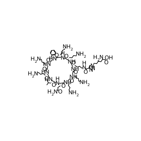 CC(C)C[C@@H]1NC(=O)[C@H](CCCCN)NC(=O)[C@H](CCCCN)NC(=O)[C@H](Cc2ccccc2)NC(=O)[C@H](CCCCN)NC(=O)[C@H](CCCCN)NC(=O)[C@H](CCCCNC(=O)c2cn(CCCC[C@H](N)C(=O)O)nn2)NC(=O)[C@H](CCCCN)NC(=O)[C@H](CCCCN)NC(=O)[C@H](CCC(N)=O)NC1=O